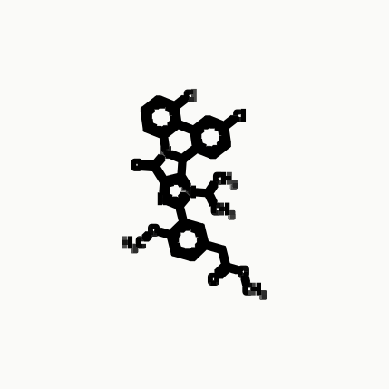 COC(=O)Cc1ccc(OC)c(-c2nc3c(n2C(C)C)C2c4ccc(Cl)cc4-c4c(Cl)cccc4N2C3=O)c1